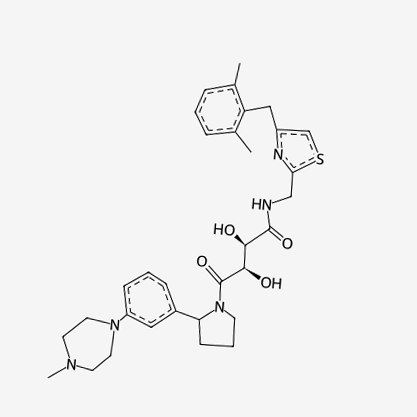 Cc1cccc(C)c1Cc1csc(CNC(=O)[C@H](O)[C@@H](O)C(=O)N2CCCC2c2cccc(N3CCN(C)CC3)c2)n1